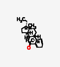 CC[C@H]1CC[C@H]2[C@@H]3CC(=O)C4=CCC=C[C@]4(C)[C@H]3CC[C@]12C